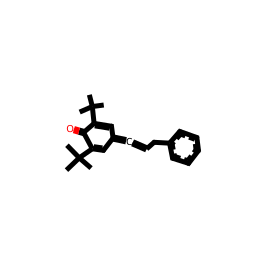 CC(C)(C)C1=CC(=C=CCc2ccccc2)C=C(C(C)(C)C)C1=O